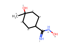 CC1(O)CCC(C(=N)NO)CC1